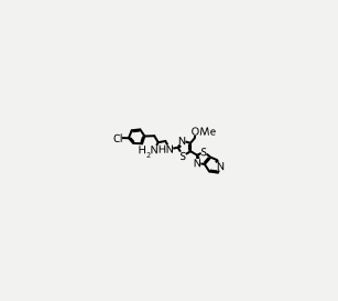 COCc1nc(NCC(N)Cc2ccc(Cl)cc2)sc1-c1nc2ccncc2s1